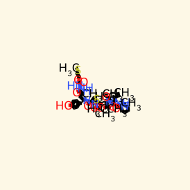 CCC(C)[C@H](NC(=O)[C@H]1CCCCN1C)C(=O)N(COC)[C@H](C[C@@H](OC(C)=O)c1nc(C(=O)N[C@@H](Cc2ccc(O)cc2)C[C@H](C)C(=O)NNC(=O)OCCSC)cs1)C(C)C